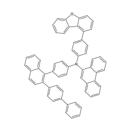 c1ccc(-c2ccc(-c3ccc4ccccc4c3-c3ccc(N(c4ccc(-c5cccc6oc7ccccc7c56)cc4)c4cc5ccccc5c5ccccc45)cc3)cc2)cc1